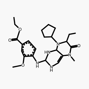 CCOC(=O)c1ccc(NC2NC=C3C(N2)N(C2CCCC2)C(CC)C(=O)N3C)c(OC)c1